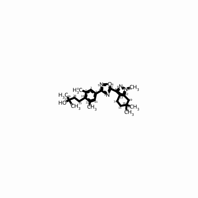 Cc1cc(-c2noc(-c3nn(C)c4c3CCC(C)(C)C4)n2)cc(C)c1CCC(C)(C)O